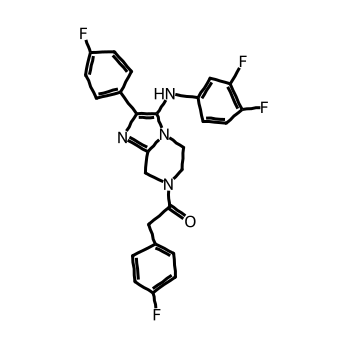 O=C(Cc1ccc(F)cc1)N1CCn2c(nc(-c3ccc(F)cc3)c2Nc2ccc(F)c(F)c2)C1